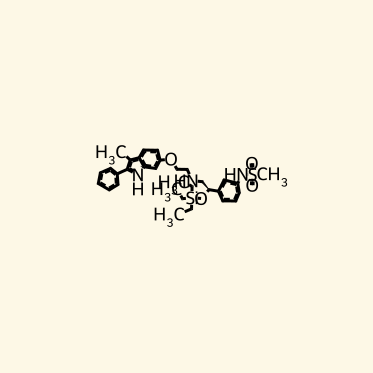 CC[Si](CC)(CC)O[C@@H](CNCCOc1ccc2c(C)c(-c3ccccc3)[nH]c2c1)c1cccc(NS(C)(=O)=O)c1